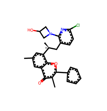 Cc1cc([C@@H](C)Cc2ccc(Cl)nc2N2CC(O)C2)c2oc(-c3ccccc3)c(C)c(=O)c2c1